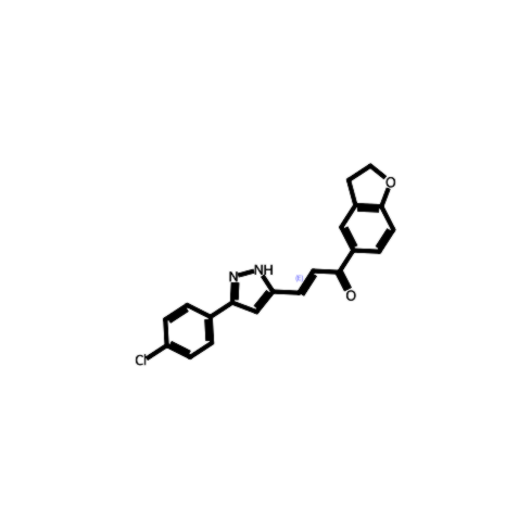 O=C(/C=C/c1cc(-c2ccc(Cl)cc2)n[nH]1)c1ccc2c(c1)CCO2